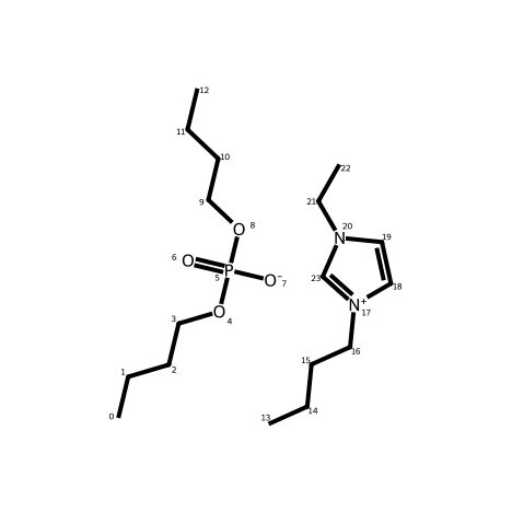 CCCCOP(=O)([O-])OCCCC.CCCC[n+]1ccn(CC)c1